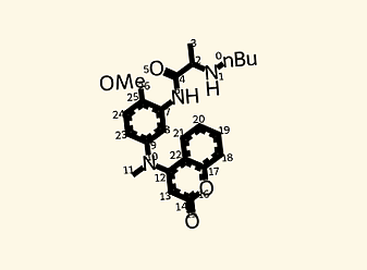 CCCCNC(C)C(=O)Nc1cc(N(C)c2cc(=O)oc3ccccc23)ccc1OC